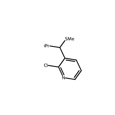 CSC([C](C)C)c1cccnc1Cl